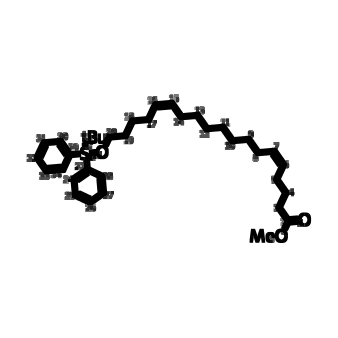 COC(=O)CCC/C=C\CCCCCCC/C=C\CCCCO[Si](c1ccccc1)(c1ccccc1)C(C)(C)C